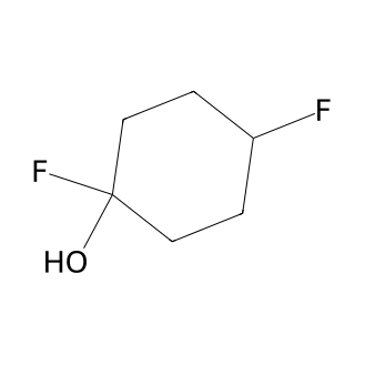 OC1(F)CCC(F)CC1